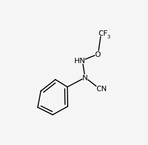 N#CN(NOC(F)(F)F)c1ccccc1